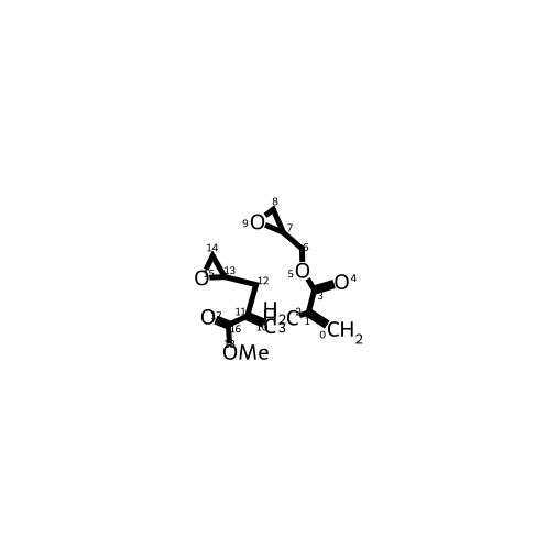 C=C(C)C(=O)OCC1CO1.C=C(CC1CO1)C(=O)OC